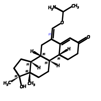 CC(N)O/C=C1/C[C@@H]2[C@H](CC[C@@]3(C)[C@H]2CC[C@]3(C)O)[C@H]2CCC(=O)C=C12